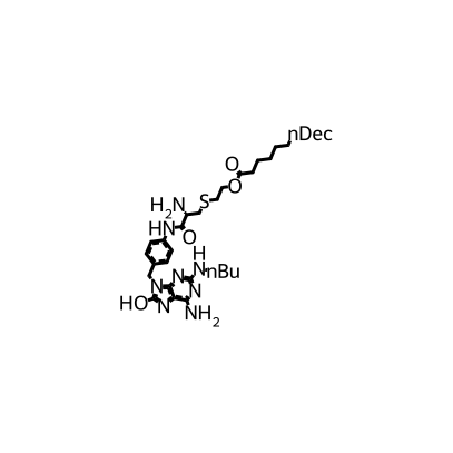 CCCCCCCCCCCCCCCC(=O)OCCSC[C@H](N)C(=O)Nc1ccc(Cn2c(O)nc3c(N)nc(NCCCC)nc32)cc1